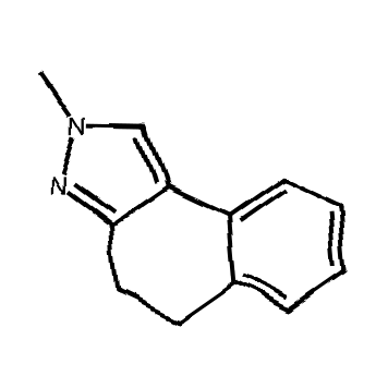 Cn1cc2c(n1)CCc1ccccc1-2